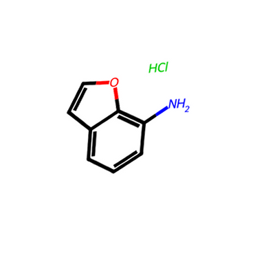 Cl.Nc1cccc2ccoc12